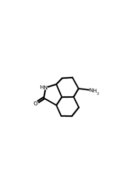 NC1CCC2NC(=O)C3CCCC1C23